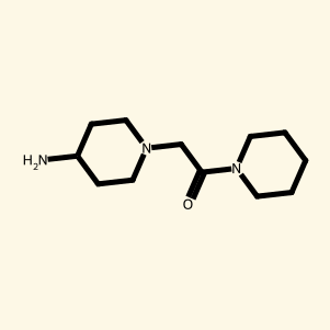 NC1CCN(CC(=O)N2CCCCC2)CC1